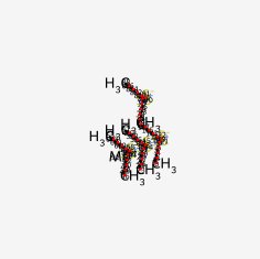 CCCCCCCCC[N+]([S-])(CCCCCCCCC)C(=S)[S-].CCCCCCCCC[N+]([S-])(CCCCCCCCC)C(=S)[S-].CCCCCCCCC[N+]([S-])(CCCCCCCCC)C(=S)[S-].CCCCCCCCC[N+]([S-])(CCCCCCCCC)C(=S)[S-].[Mo+4]